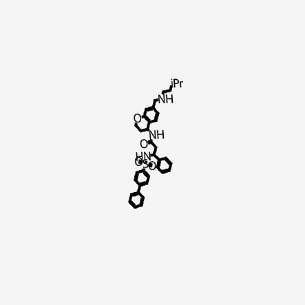 CC(C)CCNCc1ccc2c(c1)OCCC2NC(=O)CC(NS(=O)(=O)c1ccc(-c2ccccc2)cc1)c1ccccc1